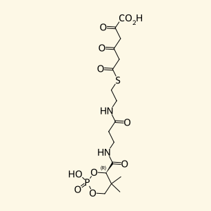 CC1(C)COP(=O)(O)O[C@H]1C(=O)NCCC(=O)NCCSC(=O)CC(=O)CC(=O)C(=O)O